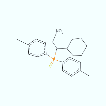 Cc1ccc(P(=S)(c2ccc(C)cc2)C(C[N+](=O)[O-])C2CCCCC2)cc1